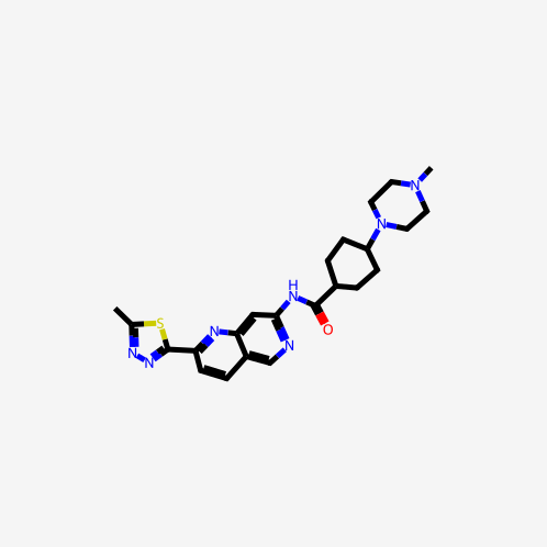 Cc1nnc(-c2ccc3cnc(NC(=O)C4CCC(N5CCN(C)CC5)CC4)cc3n2)s1